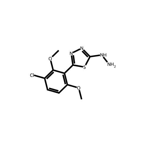 COc1ccc(Cl)c(OC)c1-c1nnc(NN)s1